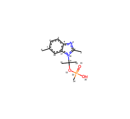 Cc1ccc2nc(C)n(C(C)(C)OP(C)(=O)O)c2c1